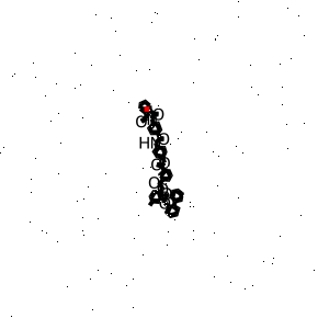 Cc1ccc(OC(=O)c2cccc(C(=O)Oc3ccc(NC(=O)c4ccc(N5C(=O)C6C7CCC(C7)C6C5=O)cc4)cc3)c2)c(P2(=O)Oc3ccccc3-c3ccccc32)c1